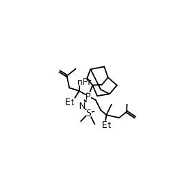 C=C(C)CC(C)(CC)CCP(=NS(C)(C)C)(C(CC)(CCC)CC(=C)C)C12CC3CC(CC(C3)C1)C2